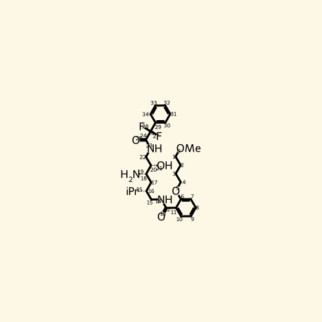 COCCCCOc1ccccc1C(=O)NC[C@@H](C[C@H](N)[C@@H](O)CNC(=O)C(F)(F)c1ccccc1)C(C)C